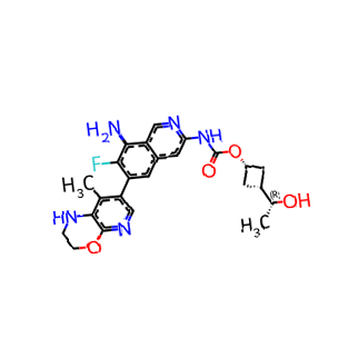 Cc1c(-c2cc3cc(NC(=O)O[C@H]4C[C@@H]([C@@H](C)O)C4)ncc3c(N)c2F)cnc2c1NCCO2